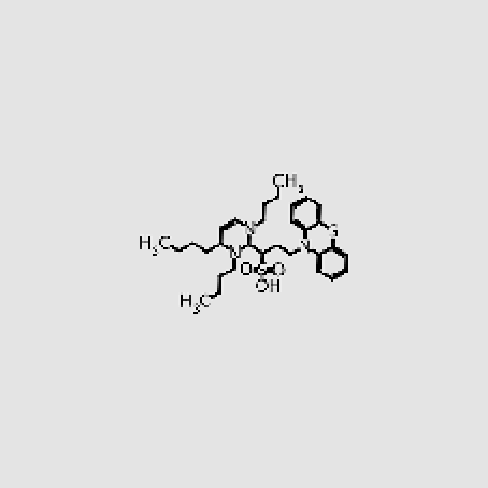 CCCCC1C=CN(CCCC)C(C(CCN2c3ccccc3Sc3ccccc32)S(=O)(=O)O)N1CCCC